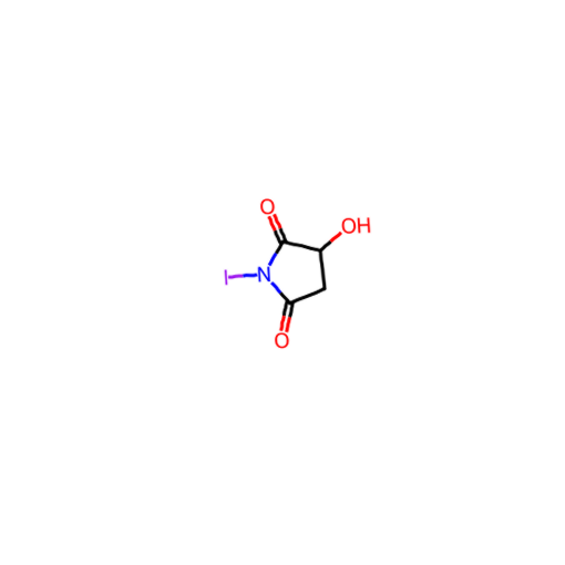 O=C1CC(O)C(=O)N1I